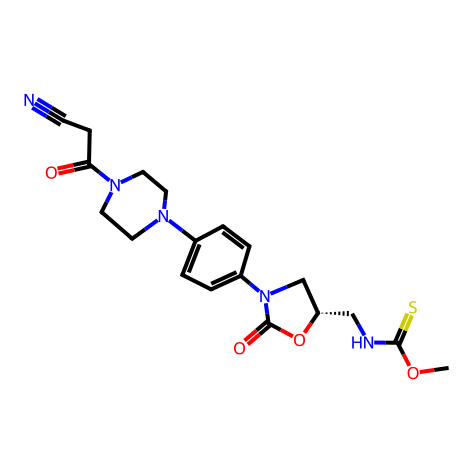 COC(=S)NC[C@H]1CN(c2ccc(N3CCN(C(=O)CC#N)CC3)cc2)C(=O)O1